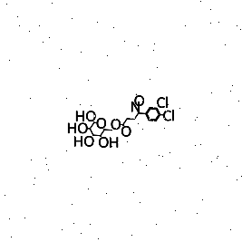 CON=C(CCC(=O)OCC1OC(O)C(O)C(O)C1O)c1ccc(Cl)c(Cl)c1